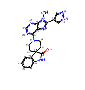 Cn1c(-c2cn[nH]c2)nc2c(N3CCC4(CC3)C(=O)Nc3ccccc34)ncnc21